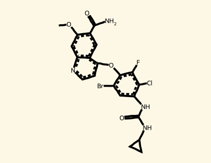 COc1cc2nccc(Oc3c(Br)cc(NC(=O)NC4CC4)c(Cl)c3F)c2cc1C(N)=O